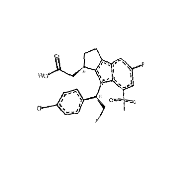 CS(=O)(=O)c1cc(F)cc2c3c(n([C@@H](CF)c4ccc(Cl)cc4)c12)[C@@H](CC(=O)O)CC3